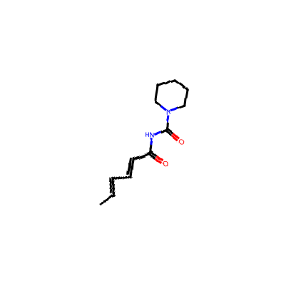 CC=CC=CC(=O)NC(=O)N1CCCCC1